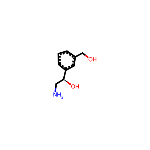 NC[C@H](O)c1cccc(CO)c1